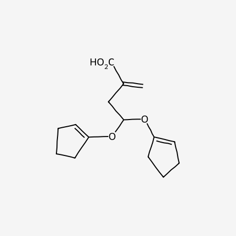 C=C(CC(OC1=CCCC1)OC1=CCCC1)C(=O)O